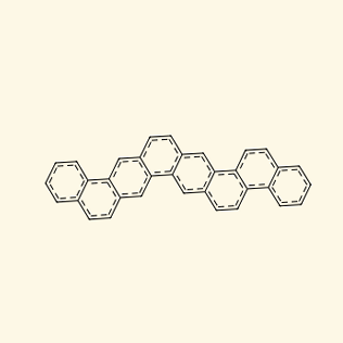 c1ccc2c(c1)ccc1cc3c(ccc4cc5c(ccc6c7ccccc7ccc56)cc43)cc12